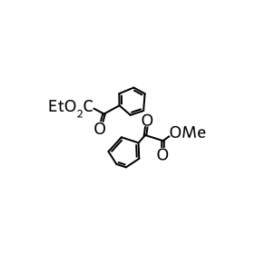 CCOC(=O)C(=O)c1ccccc1.COC(=O)C(=O)c1ccccc1